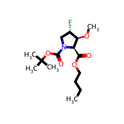 CCCCOC(=O)[C@@H]1[C@H](OC)[C@@H](F)CN1C(=O)OC(C)(C)C